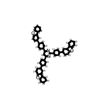 c1ccc2c(c1)oc1ccc(-c3ccc(-c4cc(-c5ccc(-c6ccc7oc8ccccc8c7c6)cc5)nc(-c5ccc(-c6ccc7oc8ccccc8c7c6)cc5)n4)cc3)cc12